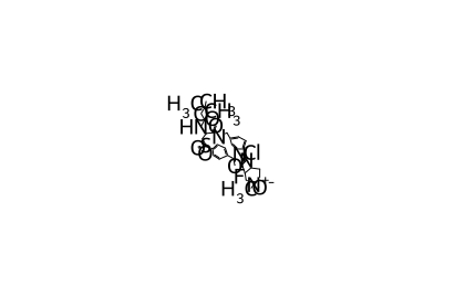 CC(C)(C)OC(=O)N[C@H]1CS(=O)(=O)c2ccc(-c3nnc(C4(F)CCC[N+](C)([O-])C4)o3)cc2N(Cc2ccc(Cl)cc2)C1=O